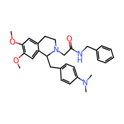 COc1cc2c(cc1OC)C(Cc1ccc(N(C)C)cc1)N(CC(=O)NCc1ccccc1)CC2